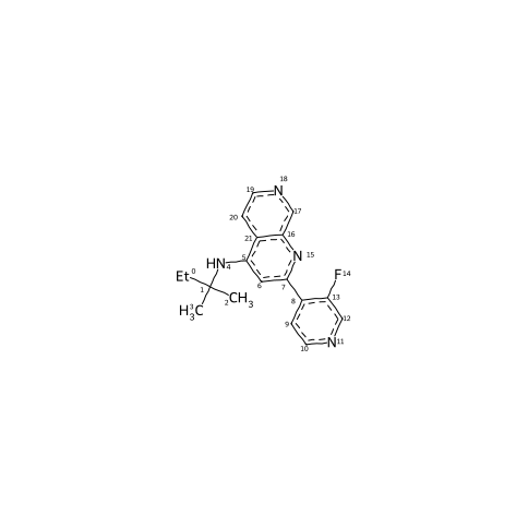 CCC(C)(C)Nc1cc(-c2ccncc2F)nc2cnccc12